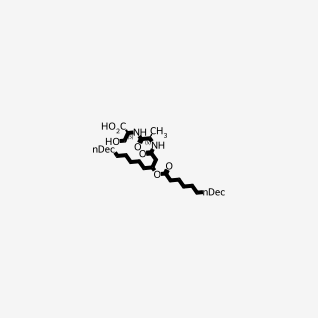 CCCCCCCCCCCCCCCC(=O)OC(CCCCCCCCCCCCCCC)CC(=O)N[C@@H](C)C(=O)N[C@@H](CO)C(=O)O